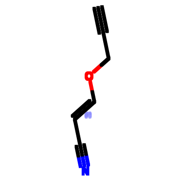 C#CCO/C=C/C#N